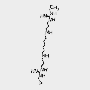 CCNC(=N)NCCCNCCCCCCCNCCCNC(=N)NCC1CC1